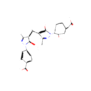 CC1=NN(c2ccc(C(=O)O)cc2)C(=O)/C1=C\c1c(C)nn(C2CCC(C(=O)O)CC2O)c1O